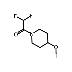 O=C(C(F)F)N1CCC(OI)CC1